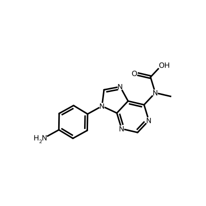 CN(C(=O)O)c1ncnc2c1ncn2-c1ccc(N)cc1